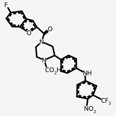 O=C(c1cc2cc(F)ccc2o1)N1CCN(C(=O)O)C(c2ccc(Nc3ccc([N+](=O)[O-])c(C(F)(F)F)c3)cc2)C1